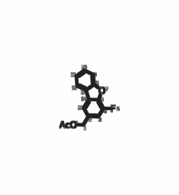 CC(=O)OCc1cc(F)c2oc3ccccc3c2c1